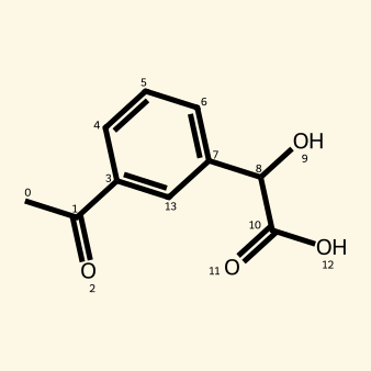 CC(=O)c1cccc(C(O)C(=O)O)c1